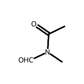 CC(=O)N(C)C=O